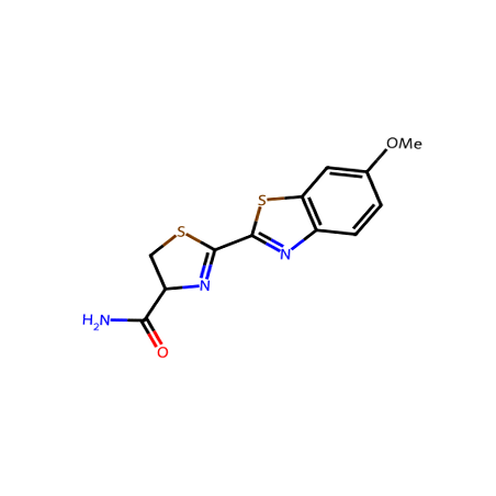 COc1ccc2nc(C3=NC(C(N)=O)CS3)sc2c1